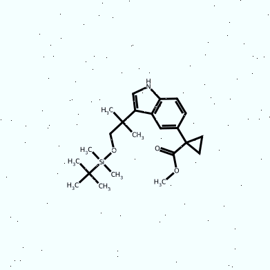 COC(=O)C1(c2ccc3[nH]cc(C(C)(C)CO[Si](C)(C)C(C)(C)C)c3c2)CC1